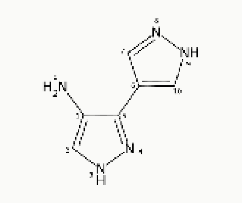 Nc1c[nH]nc1-c1cn[nH]c1